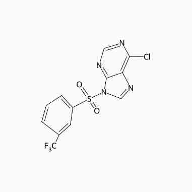 O=S(=O)(c1cccc(C(F)(F)F)c1)n1cnc2c(Cl)ncnc21